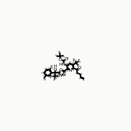 C=CCCC(=O)c1nc(-c2nnc(C(O)(c3cc(C)ccc3F)C(F)(F)F)o2)c(NC(=O)OC(C)(C)C)cc1C(F)(F)F